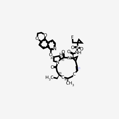 CC[C@H]1CC(=O)N2C[C@H](Oc3nccc4c5c(ccc34)OCCO5)C[C@H]2C(=O)N[C@]2(C(=O)NS(=O)(=O)C3(CF)CC3)CC2/C=C\CC[C@@H](C)C1